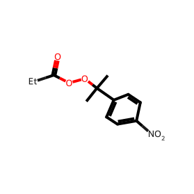 CCC(=O)OOC(C)(C)c1ccc([N+](=O)[O-])cc1